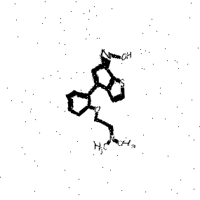 CN(C)CCOc1ccccc1C1CC(=NO)c2sccc21